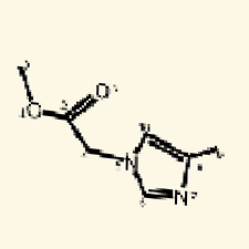 COC(=O)Cn1cnc(C)c1